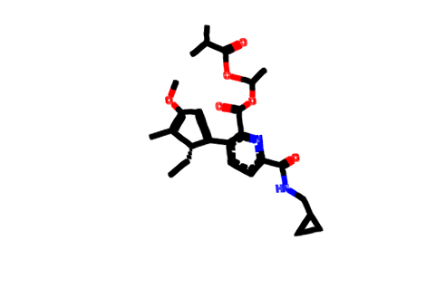 CC[C@H]1C(c2ccc(C(=O)NCC3CC3)nc2C(=O)OC(C)OC(=O)C(C)C)=CC(OC)=C1C